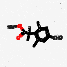 Cc1cc(C=O)cc(C)c1C(C)(C)C(=O)OC(C)(C)C